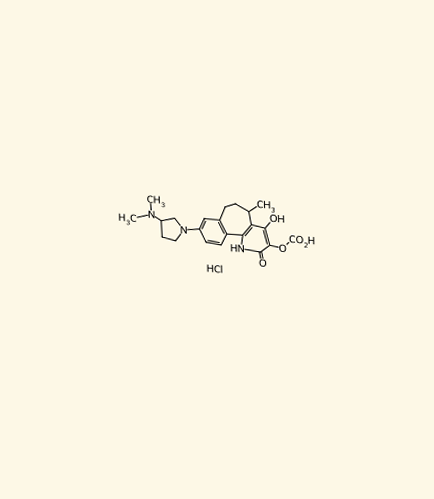 CC1CCc2cc(N3CCC(N(C)C)C3)ccc2-c2[nH]c(=O)c(OC(=O)O)c(O)c21.Cl